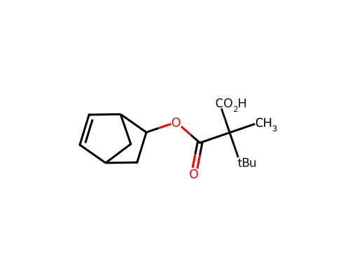 CC(C)(C)C(C)(C(=O)O)C(=O)OC1CC2C=CC1C2